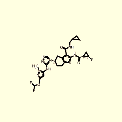 Cn1nc(OC(F)F)cc1Nc1nncn1[C@H]1CCc2sc(NC(=O)[C@H]3C[C@H]3F)c(C(=O)NCC3CC3)c2C1